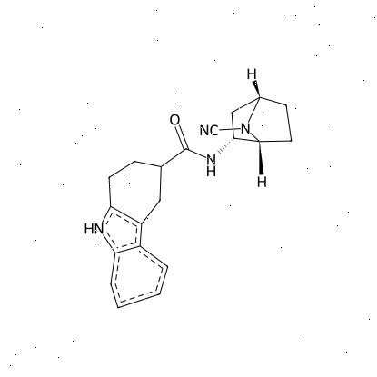 N#CN1[C@H]2CC[C@@H]1[C@H](NC(=O)C1CCc3[nH]c4ccccc4c3C1)C2